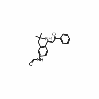 CC1(C)Cc2cc(NC=O)ccc2C(=CC(=O)c2ccccc2)N1